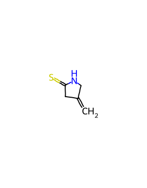 C=C1CNC(=S)C1